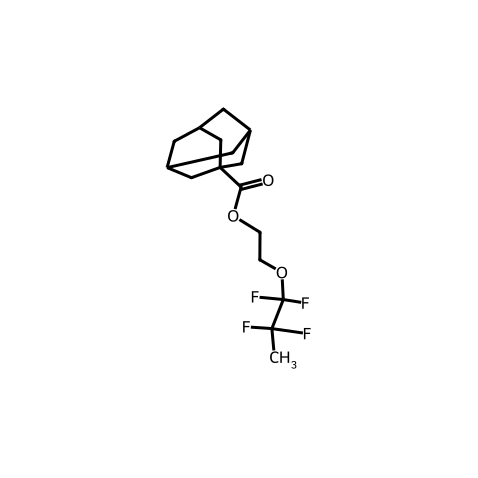 CC(F)(F)C(F)(F)OCCOC(=O)C12CC3CC(CC(C3)C1)C2